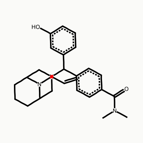 C=CCN1C2CCCC1CN(C(c1ccc(C(=O)N(C)C)cc1)c1cccc(O)c1)C2